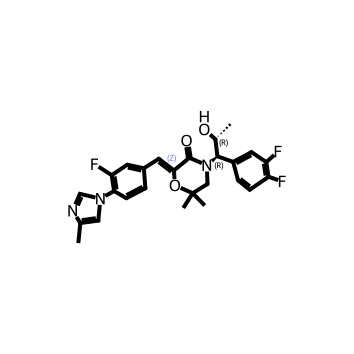 Cc1cn(-c2ccc(/C=C3\OC(C)(C)CN([C@H](c4ccc(F)c(F)c4)[C@@H](C)O)C3=O)cc2F)cn1